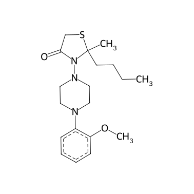 CCCCC1(C)SCC(=O)N1N1CCN(c2ccccc2OC)CC1